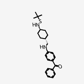 CC(C)(C)SN[C@H]1CC[C@H](CNc2ccc(C(=O)c3ccccc3)cc2)CC1